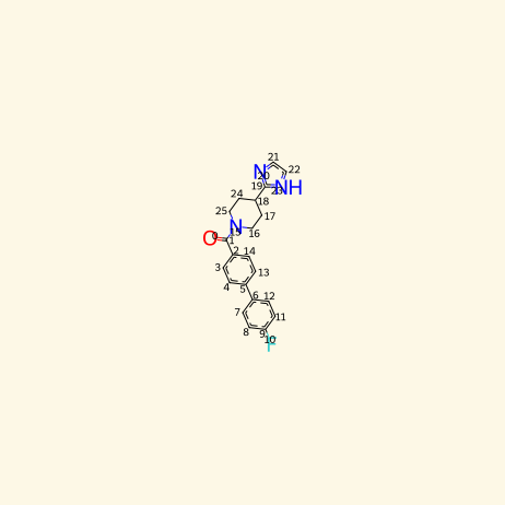 O=C(c1ccc(-c2ccc(F)cc2)cc1)N1CCC(c2ncc[nH]2)CC1